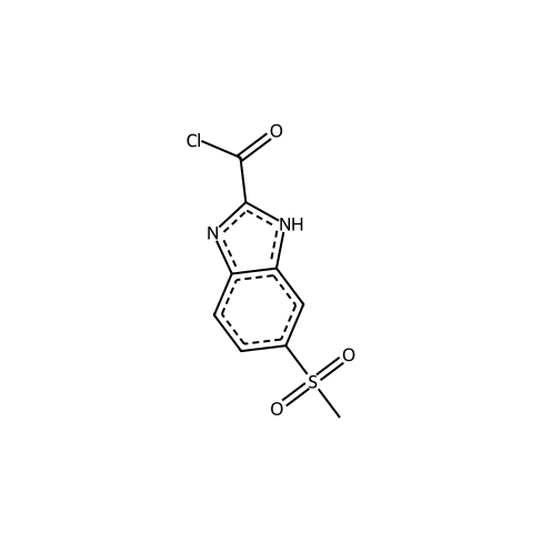 CS(=O)(=O)c1ccc2nc(C(=O)Cl)[nH]c2c1